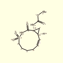 CC(C)(C)OC(=O)N[C@]12C[C@H]1/C=C\CCCCS(=O)(=O)NC2=O